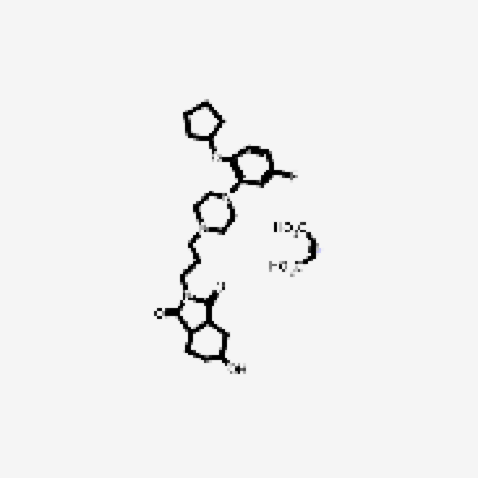 O=C(O)/C=C\C(=O)O.O=C1C2CCC(O)CC2C(=O)N1CCCN1CCN(c2cc(F)ccc2OC2CCCC2)CC1